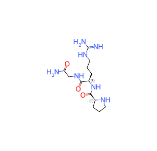 N=C(N)NCCC[C@@H](NC(=O)[C@@H]1CCCN1)C(=O)NCC(N)=O